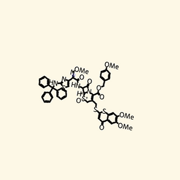 CO/N=C(\C(=O)NC1C(=O)N2C(C(=O)OCc3ccc(OC)cc3)=C(CSc3cc(=O)c4cc(OC)c(OC)cc4s3)C[S+]([O-])[C@@H]12)c1csc(NC(c2ccccc2)(c2ccccc2)c2ccccc2)n1